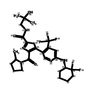 CC1CCCN1C(=O)c1nc(C(=O)NCC(C)(C)O)sc1-c1cnc(N[C@@H]2CCCCC2(F)F)cc1C(F)(F)F